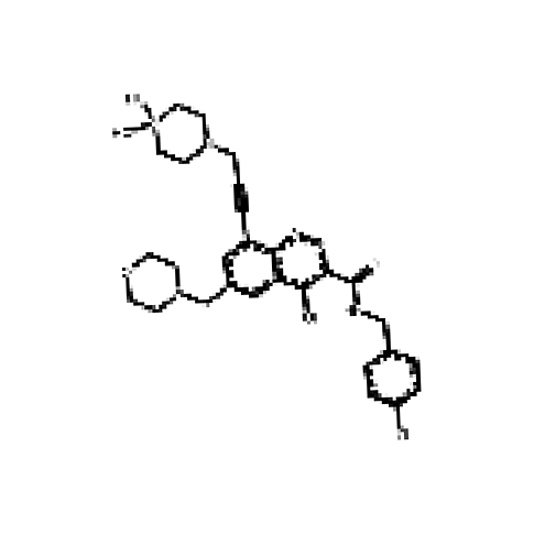 O=C(NCc1ccc(Cl)cc1)c1nnc2c(C#CCN3CCS(O)(O)CC3)cc(CN3CCOCC3)cc2c1O